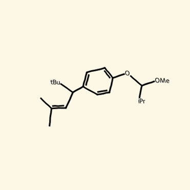 COC(Oc1ccc(C(C=C(C)C)C(C)(C)C)cc1)C(C)C